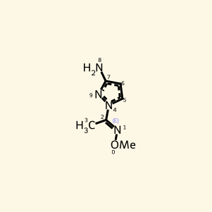 CO/N=C(\C)n1ccc(N)n1